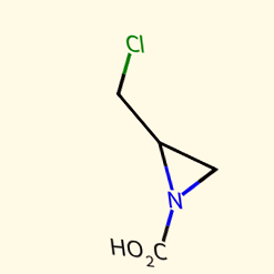 O=C(O)N1CC1CCl